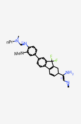 C=N/C=C(\N)C1C=CC2=C(C1)C(F)(F)c1cc(-c3ccc(/N=C/N(C)CCC)c(NC)c3)ccc12